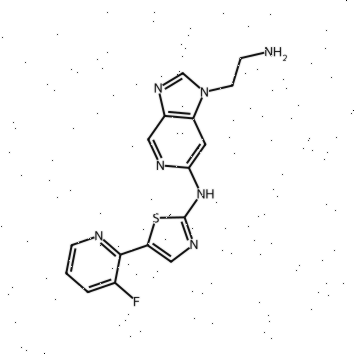 NCCn1cnc2cnc(Nc3ncc(-c4ncccc4F)s3)cc21